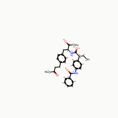 COC(=O)CCc1ccc(CC(NC(=O)[C@@H](CC(C)C)c2ccc(NC(=O)c3ccccc3)cc2)C(=O)OC)cc1